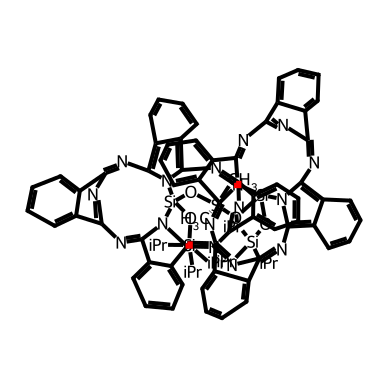 CC(C)[Si](O[Si]1(O[Si](C)(C)O[Si]2(O[Si](C(C)C)(C(C)C)C(C)C)n3c4c5ccccc5c3/N=C3N=C(/N=c5/c6ccccc6/c(n52)=N/C2=NC(=N\4)/c4ccccc42)c2ccccc2\3)n2c3c4ccccc4c2/N=C2N=C(/N=c4/c5ccccc5/c(n41)=N/C1=NC(=N\3)/c3ccccc31)c1ccccc1\2)(C(C)C)C(C)C